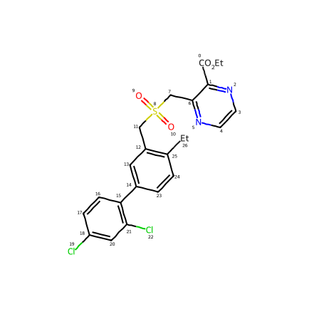 CCOC(=O)c1nccnc1CS(=O)(=O)Cc1cc(-c2ccc(Cl)cc2Cl)ccc1CC